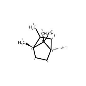 [CH2]C1C[C@H]2CC[C@@]1(C)C2(C)C